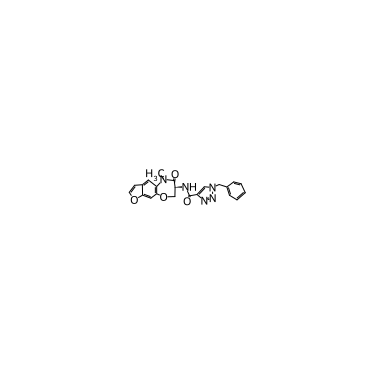 CN1C(=O)[C@@H](NC(=O)c2cn(Cc3ccccc3)nn2)COc2cc3occc3cc21